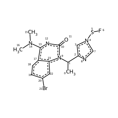 CC(c1cn(SF)cn1)n1c(=O)nc(N(C)C)c2ccc(Br)cc21